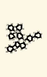 c1ccc(-c2ccc(N(c3ccc([Si](c4ccccc4)(c4ccccc4)c4ccccc4)cc3)c3cccc4c3ccc3c5ccccc5sc43)cc2)cc1